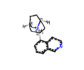 CN1[C@@H]2CC[C@H]1C[C@H](c1cccc3cnccc13)C2